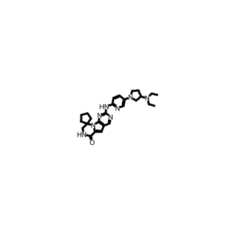 CCN(CC)C1CCN(c2ccc(Nc3ncc4cc5n(c4n3)C3(CCCC3)CNC5=O)nc2)C1